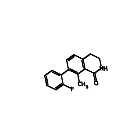 Cc1c(-c2ccccc2F)ccc2c1C(=O)NCC2